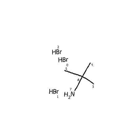 Br.Br.Br.CC(C)(C)N